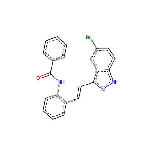 O=C(Nc1ccccc1C=Cc1n[nH]c2ccc(Br)cc12)c1ccccc1